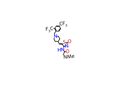 CNCC(=O)NC1=NC(=O)S/C1=C\C1CCN(Cc2ccc(C(F)(F)F)cc2C(F)(F)F)CC1